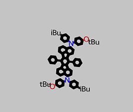 CCC(C)c1ccc(N(c2ccc(OC(C)(C)C)cc2)c2ccc3c4c(-c5ccccc5)c5c6ccc(N(c7ccc(OC(C)(C)C)cc7)c7ccc(C(C)CC)cc7)c7cccc(c5c(-c5ccccc5)c4c4cccc2c43)c76)cc1